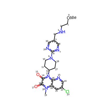 COCCNCc1cnc(N2CCC(n3c(=O)c(=O)n(C)c4cc(Cl)cnc43)CC2)nc1